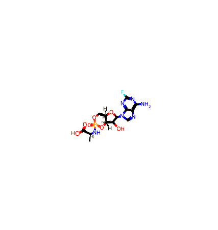 C[C@H](NP1(=O)OC[C@H]2OC(n3cnc4c(N)nc(F)nc43)C(O)[C@@H]2O1)C(=O)O